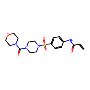 C=CC(=O)Nc1ccc(S(=O)(=O)N2CCN(C(=O)N3CCOCC3)CC2)cc1